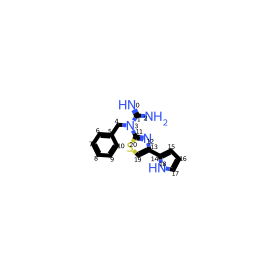 N=C(N)N(Cc1ccccc1)c1nc(-c2ccc[nH]2)cs1